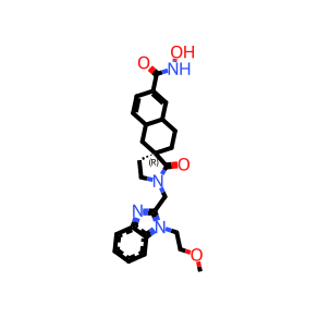 COCCn1c(CN2CC[C@]3(CCC4C=C(C(=O)NO)C=CC4C3)C2=O)nc2ccccc21